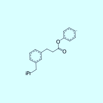 CC(C)Cc1cccc(CCC(=O)Oc2cc[c]cc2)c1